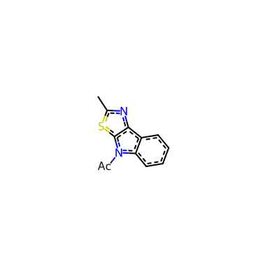 CC(=O)n1c2ccccc2c2nc(C)sc21